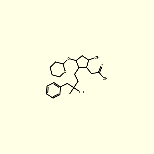 CC(O)(CCC1C(OC2CCCCO2)CC(O)C1CC(=O)O)Cc1ccccc1